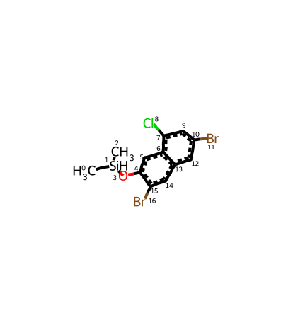 C[SiH](C)Oc1cc2c(Cl)cc(Br)cc2cc1Br